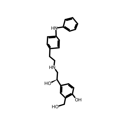 OCc1cc([C@@H](O)CNCCc2ccc(Nc3ccccc3)cc2)ccc1O